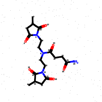 CC1CC(=O)N(CCN(CCN2C(=O)CC(C)C2=O)C(=O)CCC(N)=O)C1=O